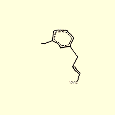 Cc1cccc(C/C=C/C=O)c1